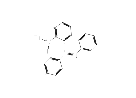 CCN(CC)c1ccccc1.c1ccc(/N=N/c2ccccc2)cc1